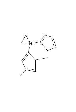 CC1=CC(C)[C]([Hf]2([C]3=CC=CC3)[CH2][CH2]2)=C1